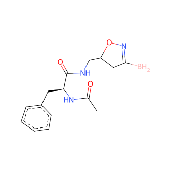 BC1=NOC(CNC(=O)[C@H](Cc2ccccc2)NC(C)=O)C1